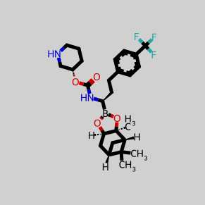 CC1(C)[C@@H]2C[C@H]3OB([C@H](CCc4ccc(C(F)(F)F)cc4)NC(=O)O[C@H]4CCCNC4)O[C@@]3(C)[C@H]1C2